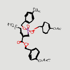 CC(=O)Oc1ccc(COC(=O)C(CCC(=O)O)CP(=O)(OCc2ccc(OC(C)=O)cc2)OCc2ccc(OC(C)=O)cc2)cc1